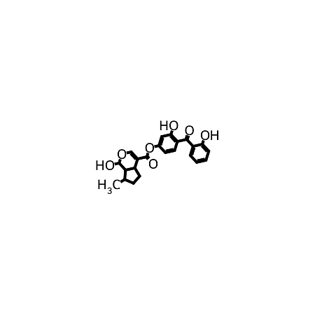 CC1CCC2C(C(=O)Oc3ccc(C(=O)c4ccccc4O)c(O)c3)=COC(O)C12